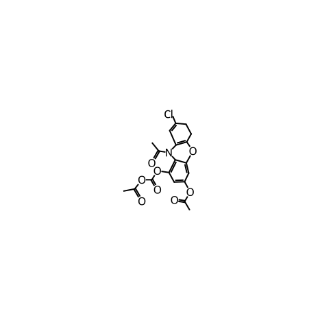 CC(=O)OC(=O)Oc1cc(OC(C)=O)cc2c1N(C(C)=O)C1=C(CCC(Cl)=C1)O2